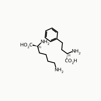 NCCCC[C@H](N)C(=O)O.N[C@@H](CCc1ccccc1)C(=O)O